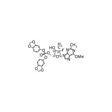 COc1nc(C)nc2c1ncn2[C@@H]1O[C@H](COP(=O)(Oc2ccc3c(c2)OCO3)Oc2ccc3c(c2)OCO3)[C@@H](O)[C@@]1(C)F